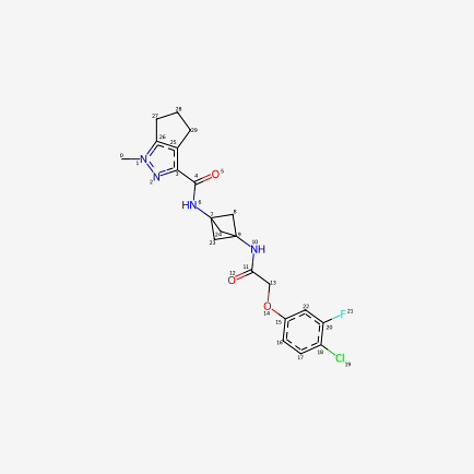 Cn1nc(C(=O)NC23CC(NC(=O)COc4ccc(Cl)c(F)c4)(C2)C3)c2c1CCC2